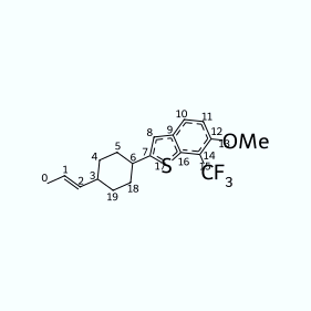 C/C=C/C1CCC(c2cc3ccc(OC)c(C(F)(F)F)c3s2)CC1